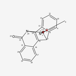 CN1CC[N+]2(CC1)C1c3ccccc3-c3c1c1ccccc1c(=O)n32